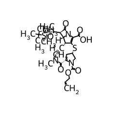 C=CCOC(=O)N1C[C@@H](SC2=C(C(=O)O)N3C(=O)[C@H]([C@@H](C)O[Si](C)(C)C(C)(C)C)[C@H]3[C@H]2C)C[C@H]1C(=O)N(C)C